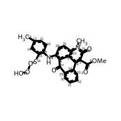 COC(=O)c1c2c3c(c(Nc4ccc(C)cc4SOOO)ccc3n(C)c1=O)C(=O)c1ccccc1-2